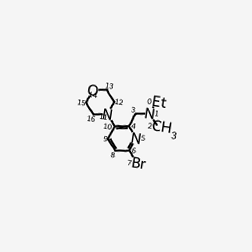 CCN(C)Cc1nc(Br)ccc1N1CCOCC1